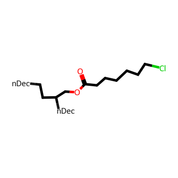 CCCCCCCCCCCCC(CCCCCCCCCC)COC(=O)CCCCCCCl